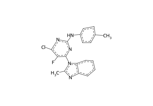 Cc1ccc(Nc2nc(Cl)c(F)c(-n3c(C)nc4ccccc43)n2)cc1